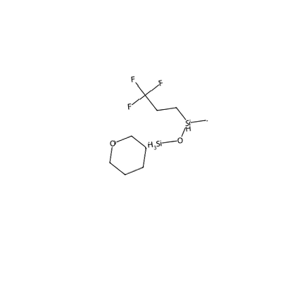 C1CCOCC1.C[SiH](CCC(F)(F)F)O[SiH3]